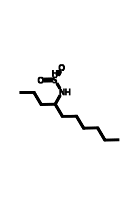 CCCCCCC(CCC)N[SH](=O)=O